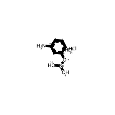 Cl.Nc1cccc(OB(O)O)c1.[LiH]